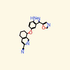 N#Cc1cc2c(cn1)C(Oc1ccc3[nH]nc(-c4cnco4)c3c1)CCC2